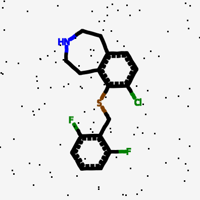 Fc1cccc(F)c1CSc1c(Cl)ccc2c1CCNCC2